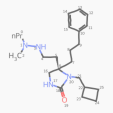 CCCN(C)NCC[C@]1(CCCc2ccccc2)CNC(=O)N1CC1CCC1